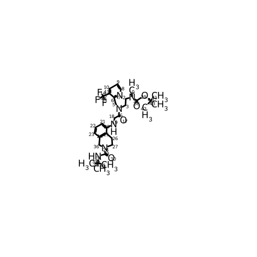 CN(CCN(Cc1ncccc1C(F)(F)F)C(=O)CNc1cccc2c1CCN(C(=O)NC(C)(C)C)C2)C(=O)OC(C)(C)C